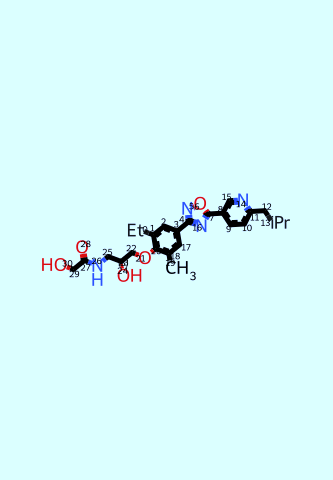 CCc1cc(-c2noc(-c3ccc(CC(C)C)nc3)n2)cc(C)c1OC[C@@H](O)CNC(=O)CO